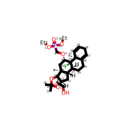 CCOP(=O)(CO[C@H]1C[C@@]2(C)[C@@H](C[C@H]3OC(C)(C)O[C@]32C(=O)CO)[C@@H]2CCC3=CCC=C[C@]3(C)[C@@]12F)OCC